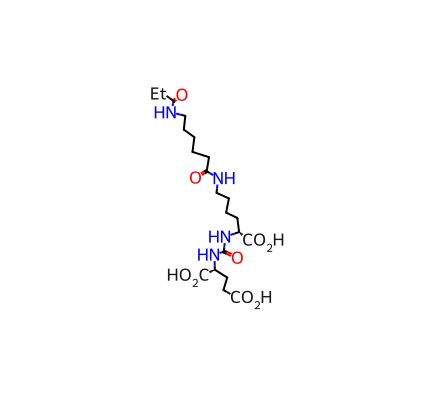 CCC(=O)NCCCCCC(=O)NCCCC[C@H](NC(=O)N[C@@H](CCC(=O)O)C(=O)O)C(=O)O